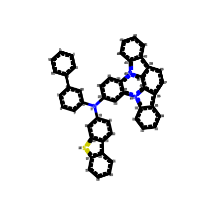 c1ccc(-c2cccc(N(c3ccc4c(c3)sc3ccccc34)c3ccc4c(c3)n3c5ccccc5c5ccc6c7ccccc7n4c6c53)c2)cc1